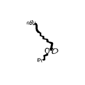 CCCCC=CCCCCCCCC(=O)OCCCC(C)C